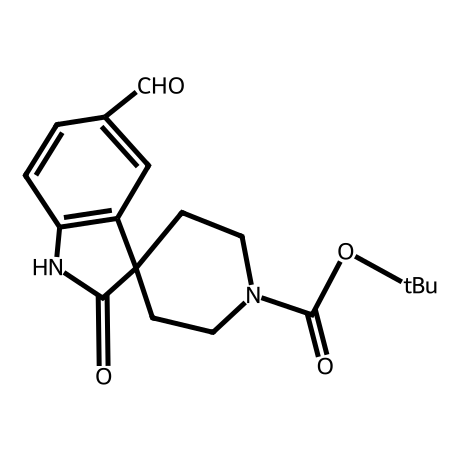 CC(C)(C)OC(=O)N1CCC2(CC1)C(=O)Nc1ccc(C=O)cc12